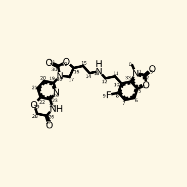 Cn1c(=O)oc2ccc(F)c(CCNCCC3CN(c4ccc5c(n4)NC(=O)CO5)C(=O)O3)c21